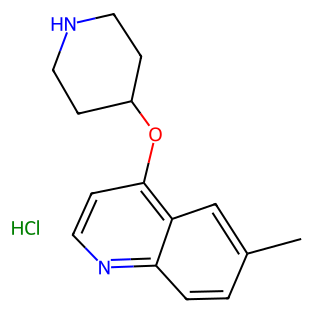 Cc1ccc2nccc(OC3CCNCC3)c2c1.Cl